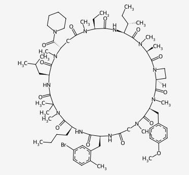 CCCC[C@@H]1NC(=O)[C@H](Cc2cc(Br)ccc2C)NC(=O)CN(C)C(=O)[C@H](Cc2ccc(OC)cc2)N(C)C(=O)[C@@H]2CCN2C(=O)[C@H](C)N(C)C(=O)[C@H]([C@@H](C)CC)NC(=O)[C@H](CC)N(C)C(=O)C[C@@H](C(=O)N2CCCCC2)N(C)C(=O)[C@H](CC(C)C)NC(=O)C(C)(C)N(C)C1=O